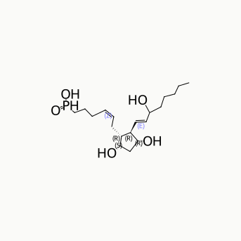 CCCCCC(O)/C=C/[C@@H]1[C@@H](C/C=C\CCC[PH](=O)O)[C@@H](O)C[C@H]1O